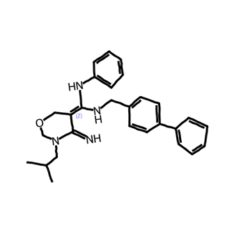 CC(C)CN1COC/C(=C(/NCc2ccc(-c3ccccc3)cc2)Nc2ccccc2)C1=N